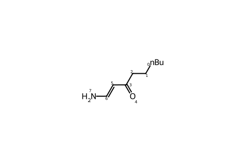 CCCCCCC(=O)C=CN